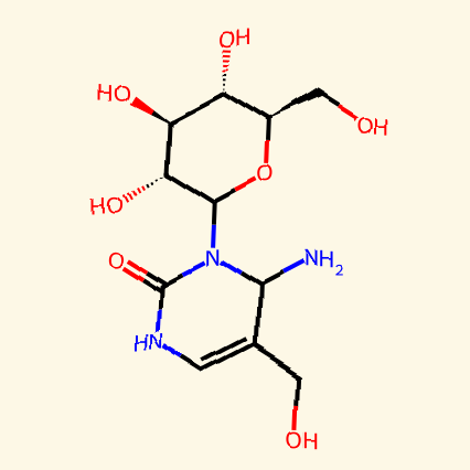 NC1C(CO)=CNC(=O)N1C1O[C@H](CO)[C@@H](O)[C@H](O)[C@H]1O